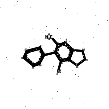 CCc1c2c(nc(C)c1-c1ccccc1)CCC2